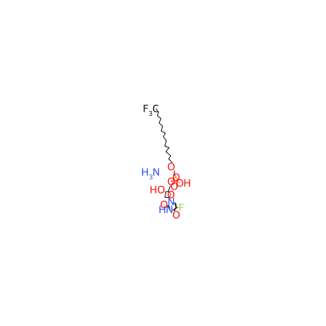 N.O=c1[nH]c(=O)n(C2CC(O)C(COP(=O)(O)OCCOCCCCCCCCCCCCCCCC(F)(F)F)O2)cc1F